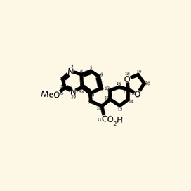 COc1cnc2cccc(CC(C(=O)O)C3CCC4(CC3)OCCO4)c2n1